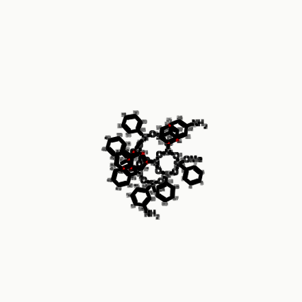 CO[Si]1(c2ccccc2)O[Si]2(c3ccccc3)O[Si](C)(c3ccc(N)cc3)O[Si]3(c4ccccc4)O[Si](C)(c4ccccc4)O[Si]4(c5ccccc5)O[Si](C)(c5cccc(N)c5)O[Si](c5ccccc5)(O1)O[Si](c1ccccc1)(O2)O[Si](c1ccccc1)(O3)O4